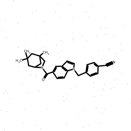 CC1(C)CC2CC(C)(CN2C(=O)c2ccc3c(ccn3Cc3ccc(C#N)cc3)c2)C1